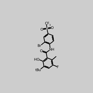 Cc1c(F)cc(C(C)(C)C)c(O)c1C(=O)Nc1ccc(S(=O)(=O)C(F)(F)F)cc1Br